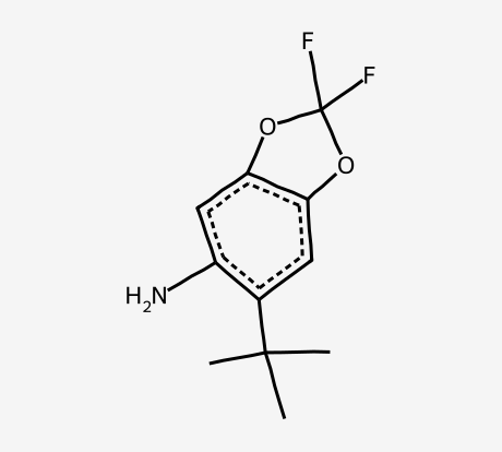 CC(C)(C)c1cc2c(cc1N)OC(F)(F)O2